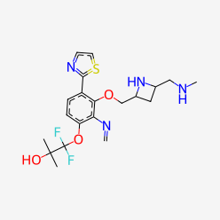 C=Nc1c(OC(F)(F)C(C)(C)O)ccc(-c2nccs2)c1OCC1CC(CNC)N1